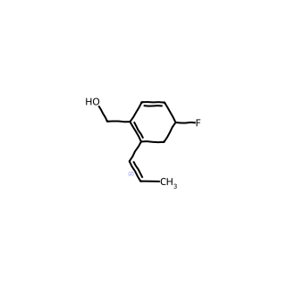 C/C=C\C1=C(CO)C=CC(F)C1